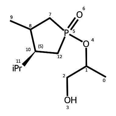 CC(CO)OP1(=O)CC(C)[C@H](C(C)C)C1